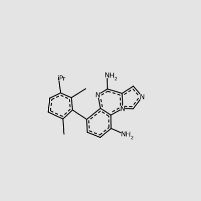 Cc1ccc(C(C)C)c(C)c1-c1ccc(N)c2c1nc(N)c1cncn12